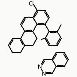 Cc1cccc(C)c1-c1ccc(Cl)c2ccc3c(c12)CCC1=C3C=CCC1.c1ccc2cnncc2c1